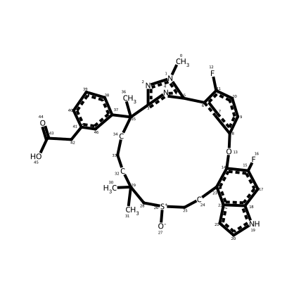 Cn1nc2nc1-c1cc(ccc1F)Oc1c(F)cc3[nH]ccc3c1CC[S+]([O-])CC(C)(C)CCCC2(C)c1cccc(CC(=O)O)c1